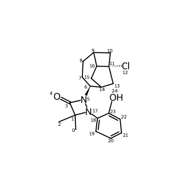 CC1(C)C(=O)N([C@H]2CCC3C[C@@]4(Cl)CC2CC34)N1c1ccccc1O